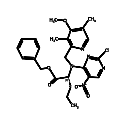 CCC[C@H](C(=O)OCc1ccccc1)N(Cc1ncc(C)c(OC)c1C)c1nc(Cl)ncc1[N+](=O)[O-]